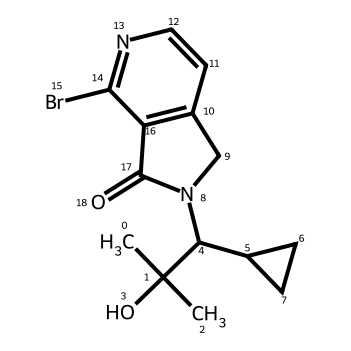 CC(C)(O)C(C1CC1)N1Cc2ccnc(Br)c2C1=O